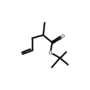 [CH2]C(CC=C)C(=O)OC(C)(C)C